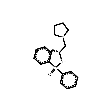 CC(C)[C@H](CN1CCCC1)NP(=O)(c1ccccc1)c1ccccc1